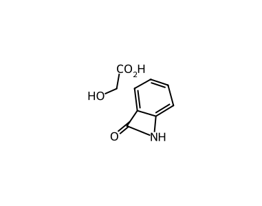 O=C(O)CO.O=C1Nc2ccccc21